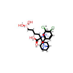 NC(CCCCB(O)O)(C(=O)O)C1CC2CC(C1)N2Cc1ccc(Cl)c(Cl)c1